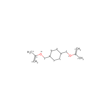 C=C(C)OCC1CCC(COC(=C)C)CC1